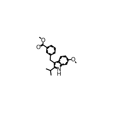 COC(=O)c1cccc(Cc2c(C(C)C)[nH]c3cc(OC)ccc23)c1